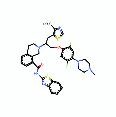 CN1CCN(c2cc(F)c(OCC(Cc3scnc3C(=O)O)N3CCc4cccc(C(=O)Nc5nc6ccccc6s5)c4C3)cc2F)CC1